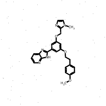 COc1ccc(CCOc2cc(OCc3nccn3C)cc(-c3nc4cccnc4[nH]3)c2)cc1